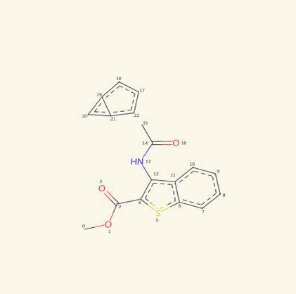 COC(=O)c1sc2ccccc2c1NC(C)=O.c1cc2cc-2c1